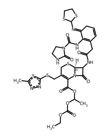 CCOC(=O)OC(C)OC(=O)C1=C(CSc2nnc(C)s2)CS[C@H]2C(NC(=O)CC3=C(NC(=O)N4CCNC4=O)C(=NC4SCCS4)CC=C3)C(=O)N12